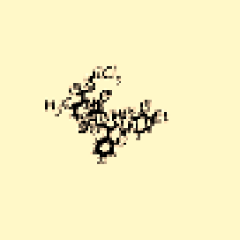 CCN1CCN(C(=O)NC(C(=O)NC2C(=O)N3C(C(=O)OCC(Cl)(Cl)Cl)=C(C)C[S+]([O-])[C@H]23)c2ccccc2)C(=O)C1=O